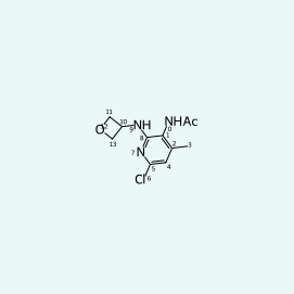 CC(=O)Nc1c(C)cc(Cl)nc1NC1COC1